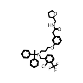 CC(c1ccccc1)(c1ccccc1)N(CCCOc1cccc(CC(=O)NCC2CCCO2)c1)Cc1cccc(C(F)(F)F)c1Cl